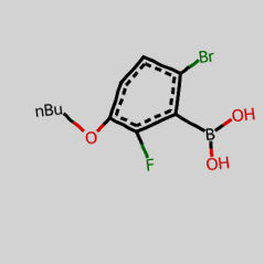 CCCCOc1ccc(Br)c(B(O)O)c1F